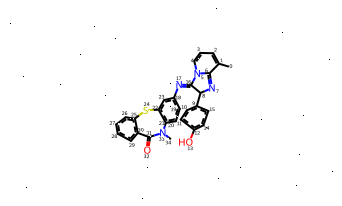 CC1=CC=CN2C1=NC(c1ccc(O)cc1)/C2=N\c1ccc2c(c1)Sc1ccccc1C(=O)N2C